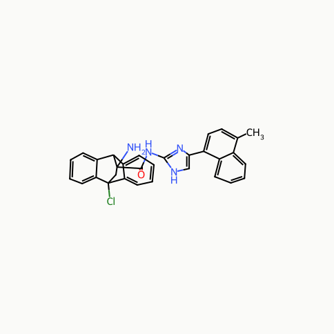 Cc1ccc(-c2c[nH]c(NC(=O)C3(N)CC4(Cl)c5ccccc5C3c3ccccc34)n2)c2ccccc12